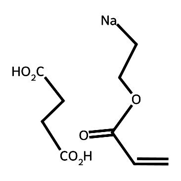 C=CC(=O)OC[CH2][Na].O=C(O)CCC(=O)O